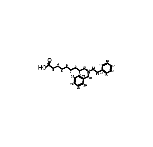 O=C(O)CCCCCCCCN(CCc1ccccc1)Cc1ccccc1